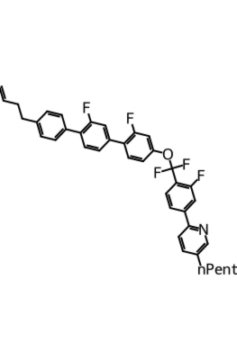 C=CCCc1ccc(-c2ccc(-c3ccc(OC(F)(F)c4ccc(-c5ccc(CCCCC)cn5)cc4F)cc3F)cc2F)cc1